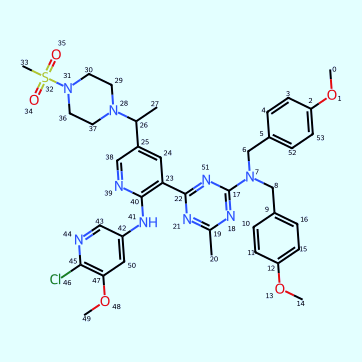 COc1ccc(CN(Cc2ccc(OC)cc2)c2nc(C)nc(-c3cc(C(C)N4CCN(S(C)(=O)=O)CC4)cnc3Nc3cnc(Cl)c(OC)c3)n2)cc1